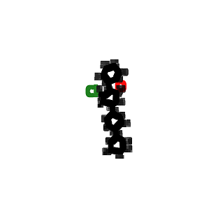 Clc1cc(-c2ccc(-c3ccccc3)cc2)cc2oc3ccccc3c12